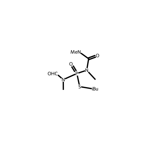 CCC(C)SP(=O)(N(C)C=O)N(C)C(=O)NC